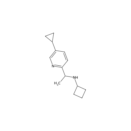 CC(NC1CCC1)c1ccc(C2CC2)cn1